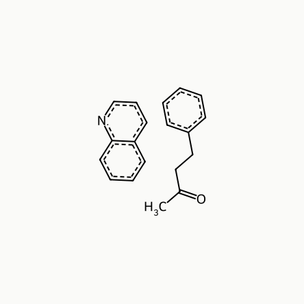 CC(=O)CCc1ccccc1.c1ccc2ncccc2c1